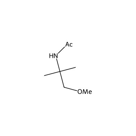 COCC(C)(C)NC(C)=O